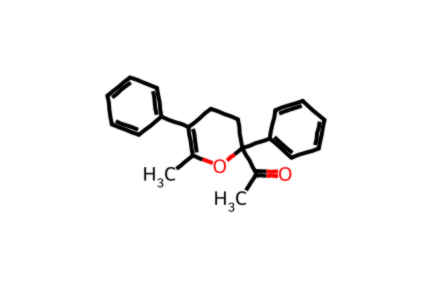 CC(=O)C1(c2ccccc2)CCC(c2ccccc2)=C(C)O1